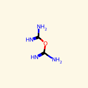 N=C(N)OC(=N)N